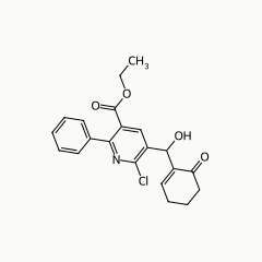 CCOC(=O)c1cc(C(O)C2=CCCCC2=O)c(Cl)nc1-c1ccccc1